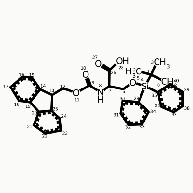 CC(C)(C)[Si](OCC(NC(=O)OCC1c2ccccc2-c2ccccc21)C(=O)O)(c1ccccc1)c1ccccc1